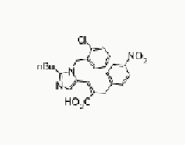 CCCCc1ncc(C=C(Cc2ccc([N+](=O)[O-])cc2)C(=O)O)n1Cc1ccccc1Cl